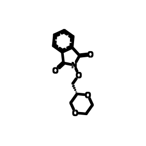 O=C1c2ccccc2C(=O)N1OC[C@H]1COCCO1